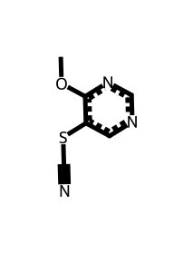 COc1ncncc1SC#N